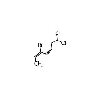 C/C=C(Br)\C=C/CC(=O)Cl